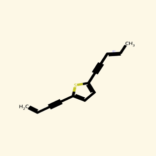 C=CC#Cc1ccc(C#C/C=C/C)s1